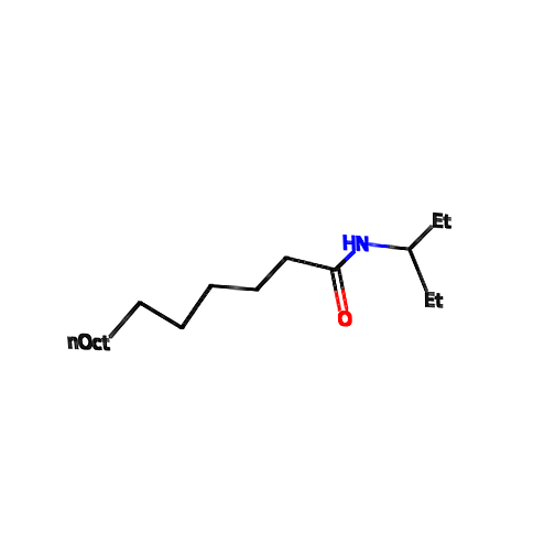 CCCCCCCCCCCCCC(=O)NC(CC)CC